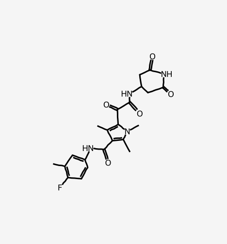 Cc1cc(NC(=O)c2c(C)c(C(=O)C(=O)NC3CC(=O)NC(=O)C3)n(C)c2C)ccc1F